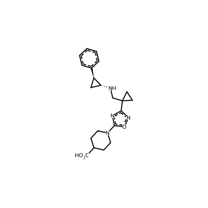 O=C(O)C1CCN(c2nc(C3(CN[C@@H]4C[C@H]4c4ccccc4)CC3)no2)CC1